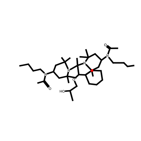 CCCCN(C(C)=O)C1CC(C)(C)N(C(C)(C(OCC(C)O)C2CCCCC2)N2C(C)(C)CC(N(CCCC)C(C)=O)CC2(C)C)C(C)(C)C1